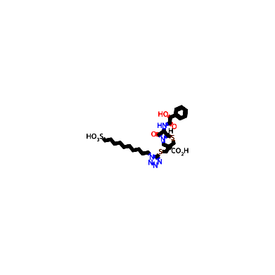 O=C(NC1C(=O)N2CC(CSc3nnnn3CCCCCCCCCCS(=O)(=O)O)(C(=O)O)CS[C@H]12)C(O)c1ccccc1